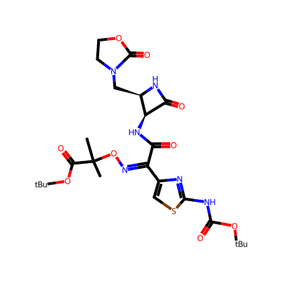 CC(C)(C)OC(=O)Nc1nc(/C(=N/OC(C)(C)C(=O)OC(C)(C)C)C(=O)N[C@@H]2C(=O)N[C@@H]2CN2CCOC2=O)cs1